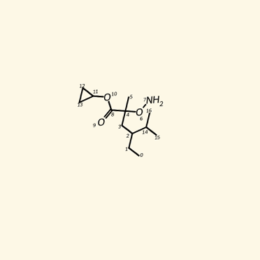 CCC(CC(C)(ON)C(=O)OC1CC1)C(C)C